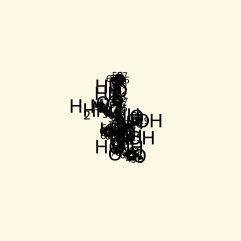 COc1ccc(C[C@@H](NC(=O)[C@H](CC(=O)O)NC(=O)C(NC(=O)[C@H](CCCC(=O)O)NC(=O)[C@H](CCCCNC(N)=O)NC(=O)Cc2ccc(NC(=O)Nc3ccccc3C)cc2)C2CCCCC2)C(=O)O)cc1